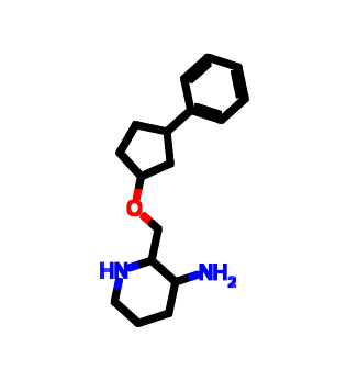 NC1CCCNC1COC1CCC(c2ccccc2)C1